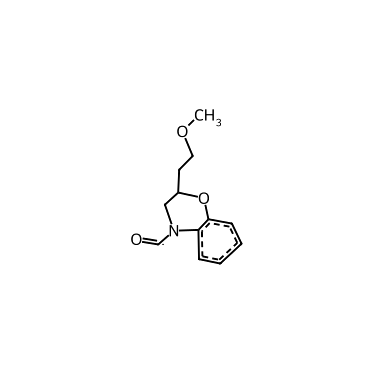 COCCC1CN([C]=O)c2ccccc2O1